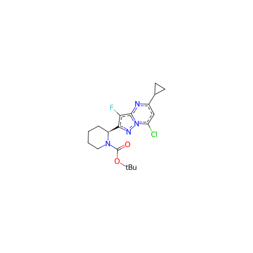 CC(C)(C)OC(=O)N1CCCC[C@H]1c1nn2c(Cl)cc(C3CC3)nc2c1F